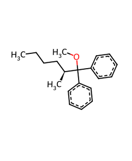 CCCC[C@H](C)C(OC)(c1ccccc1)c1ccccc1